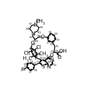 Cc1c(Cl)c2c(Cl)c(C)c1-c1c(-c3ccc(F)cc3)sc3ncnc(c13)OC(C(=O)O)Cc1cccc(c1)OCC(CN1CCN(C)CC1)O2